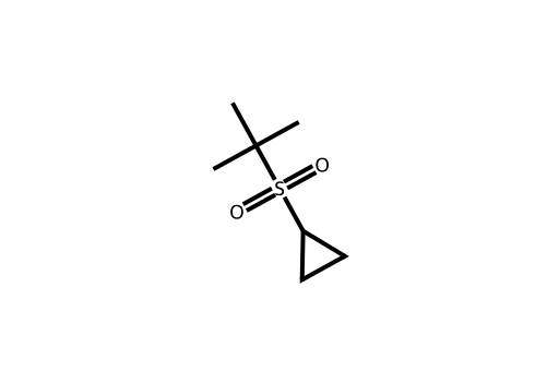 CC(C)(C)S(=O)(=O)C1CC1